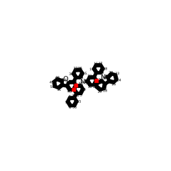 c1ccc(-c2ccc(N(c3cccc(-c4ccccc4-n4c5ccccc5c5ccccc54)c3)c3ccccc3-c3cccc4c3oc3ccccc34)cc2)cc1